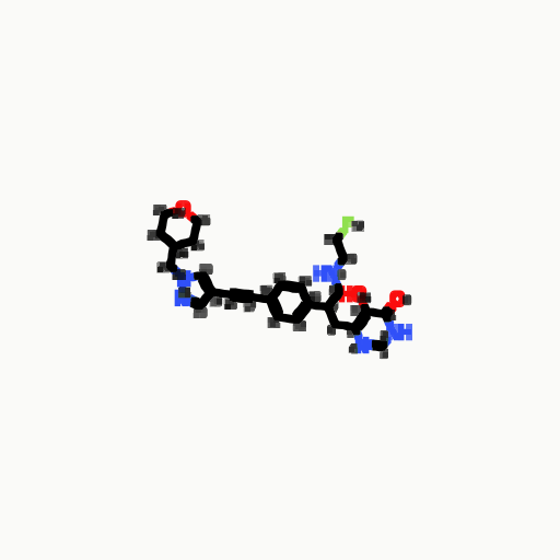 O=c1[nH]cnc(CC(CNCCF)c2ccc(C#Cc3cnn(CC4CCOCC4)c3)cc2)c1O